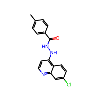 Cc1ccc(C(=O)NNc2ccnc3cc(Cl)ccc23)cc1